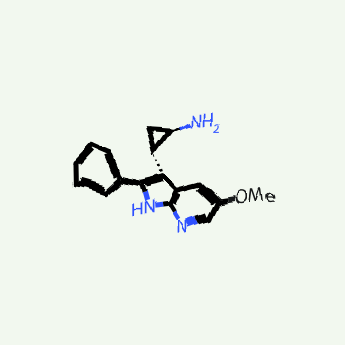 COc1cnc2[nH]c(-c3ccccc3)c([C@@H]3C[C@H]3N)c2c1